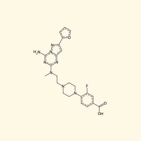 CN(CCN1CCN(c2ccc(C(=O)O)cc2F)CC1)c1nc(N)n2nc(-c3ccco3)cc2n1